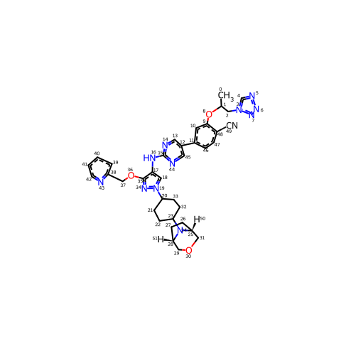 CC(Cn1cnnn1)Oc1cc(-c2cnc(Nc3cn(C4CCC(N5[C@@H]6CC[C@H]5COC6)CC4)nc3OCc3ccccn3)nc2)ccc1C#N